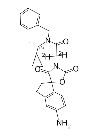 [2H]C([2H])(C(=O)N(Cc1ccccc1)[C@@H](C)C1CC1)N1C(=O)OC2(CCc3cc(N)ccc32)C1=O